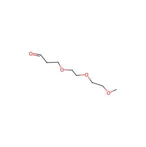 COCCOCCOCCC=O